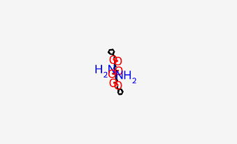 N[C@H](CCC(=O)OCc1ccccc1)C(=O)C(=O)[C@H](N)CCC(=O)OCc1ccccc1